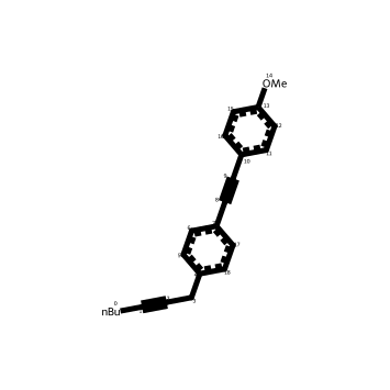 CCCCC#CCc1ccc(C#Cc2ccc(OC)cc2)cc1